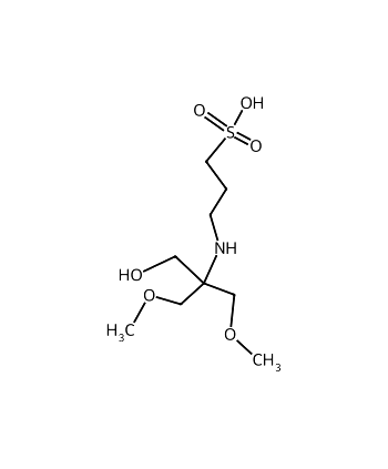 COCC(CO)(COC)NCCCS(=O)(=O)O